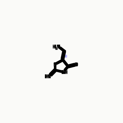 N=C1NC(=O)/C(=C/N)S1